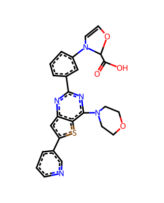 O=C(O)C1OC=CN1c1cccc(-c2nc(N3CCOCC3)c3sc(-c4cccnc4)cc3n2)c1